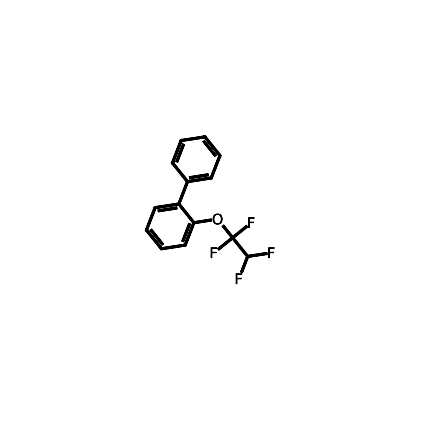 FC(F)C(F)(F)Oc1ccccc1-c1ccccc1